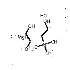 C[N+](C)(C)CCO.Cl.OCCO.[Cl-].[MgH2]